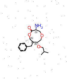 CC(C)CO[C@H]1COC[C@H](N)C(=O)O[C@@H](C)[C@@H]1Cc1ccccc1